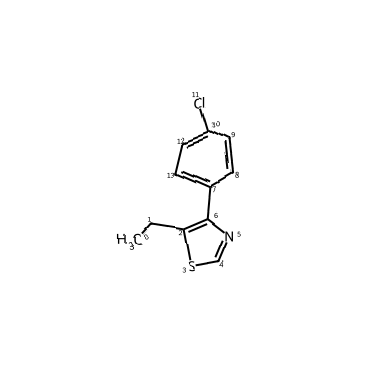 CCc1s[c]nc1-c1ccc(Cl)cc1